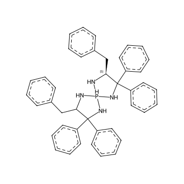 c1ccc(CC2N[PH]3(N[C@@H](Cc4ccccc4)C(c4ccccc4)(c4ccccc4)N3)NC2(c2ccccc2)c2ccccc2)cc1